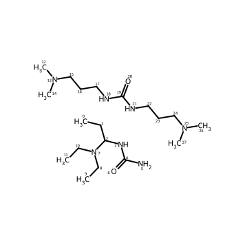 CCC(NC(N)=O)N(CC)CC.CN(C)CCCNC(=O)NCCCN(C)C